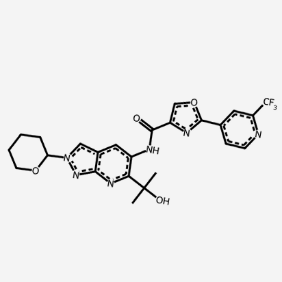 CC(C)(O)c1nc2nn(C3CCCCO3)cc2cc1NC(=O)c1coc(-c2ccnc(C(F)(F)F)c2)n1